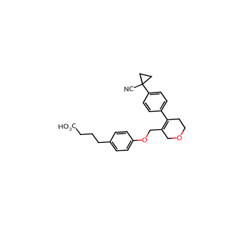 N#CC1(c2ccc(C3=C(COc4ccc(CCCC(=O)O)cc4)COCC3)cc2)CC1